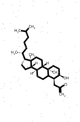 C=C(Cl)C[C@H]1C2CC[C@H]3[C@@H]4CC[C@H]([C@H](C)CCCC(C)C)[C@@]4(C)CC[C@@H]3[C@@]2(C)CC[C@H]1O